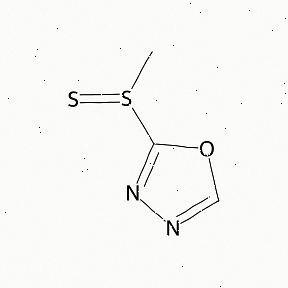 CS(=S)c1nnco1